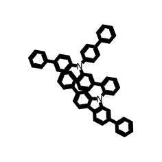 c1ccc(-c2ccc(N(c3ccc(-c4ccccc4)cc3)c3cccc(-c4ccccc4-n4c5cc(-c6ccccc6)ccc5c5ccc(-c6ccccc6)cc54)c3)cc2)cc1